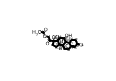 CC(=O)OCC(=O)[C@@]1(O)CC[C@H]2[C@@H]3CCC4=CC(=O)CC[C@]4(C)[C@H]3C(O)C[C@@]21C